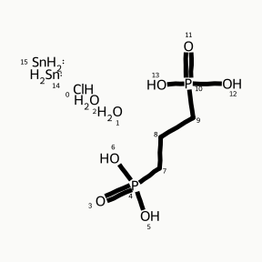 Cl.O.O.O=P(O)(O)CCCP(=O)(O)O.[SnH2].[SnH2]